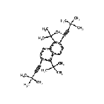 CC(C)(C)c1c(C#C[Si](C)(C)C)ccc2c(C(C)(C)C)c(C#C[Si](C)(C)C)ccc12